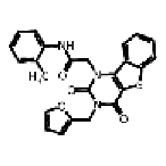 Cc1ccccc1NC(=O)Cn1c(=O)n(Cc2ccco2)c(=O)c2sc3ccccc3c21